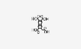 O=C(O)CC1C2CC(C1C(=O)O)C1C3CC(C(C(=O)O)C3C(=O)O)C21